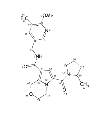 COc1ncc(CNC(=O)c2cc(C(=O)N3CCCC3C)n3c2COCC3)cc1C(F)(F)F